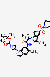 Cc1cc2cnn(C3CN(C(=O)OC(C)(C)C)C3)c2cc1NC(=O)C(C)n1cc(C)c2cc(S(=O)(=O)N3CCCCC3)ccc21